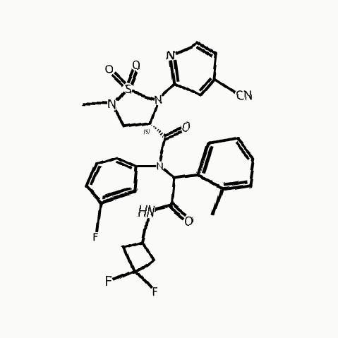 Cc1ccccc1C(C(=O)NC1CC(F)(F)C1)N(C(=O)[C@@H]1CN(C)S(=O)(=O)N1c1cc(C#N)ccn1)c1cccc(F)c1